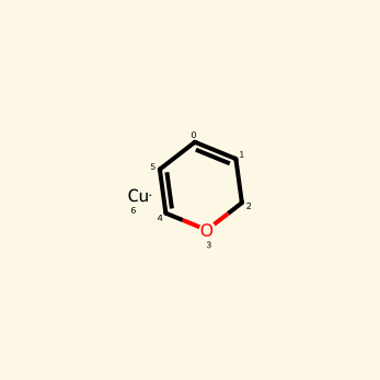 C1=CCOC=C1.[Cu]